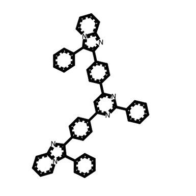 c1ccc(-c2nc(-c3ccc(-c4nc5ccccn5c4-c4ccccc4)cc3)cc(-c3ccc(-c4nc5ccccn5c4-c4ccccc4)cc3)n2)cc1